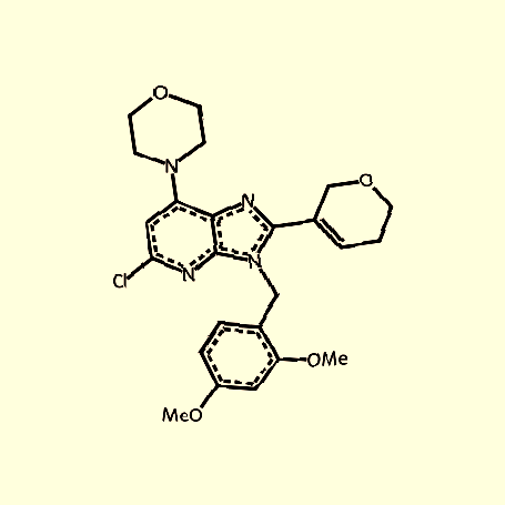 COc1ccc(Cn2c(C3=CCCOC3)nc3c(N4CCOCC4)cc(Cl)nc32)c(OC)c1